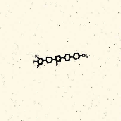 CC1CCC(C2CCC(c3ccc(C4CCC(c5cc(F)c(F)c(F)c5)CC4)c(F)c3)CC2)CC1